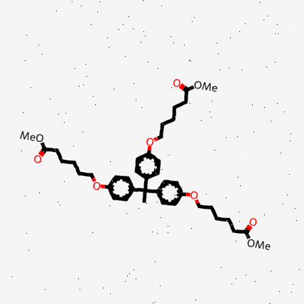 COC(=O)CCCCCOc1ccc(C(C)(c2ccc(OCCCCCC(=O)OC)cc2)c2ccc(OCCCCCC(=O)OC)cc2)cc1